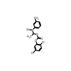 CCN(c1cccc(C)c1)C(C)OC(=O)Oc1cc(Cl)ccc1Cl